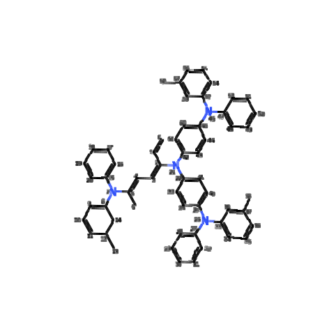 C=C/C(=C\C=C(/C)N(C1=CC=CC(C)C1)c1ccccc1)N(c1ccc(N(c2ccccc2)c2cccc(C)c2)cc1)c1ccc(N(c2ccccc2)c2cccc(C)c2)cc1